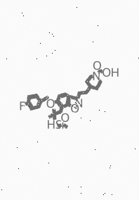 C[SiH](C)OC(c1c(OCc2ccc(F)cc2)ccc2c(CCC3CCN(C(=O)O)CC3)noc12)C(C)(C)C